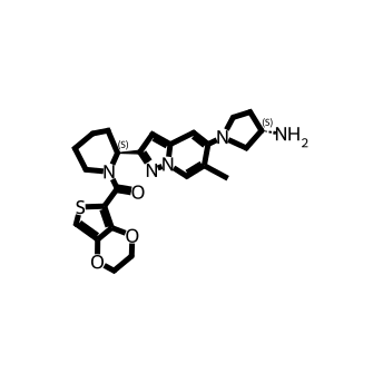 Cc1cn2nc([C@@H]3CCCCN3C(=O)c3scc4c3OCCO4)cc2cc1N1CC[C@H](N)C1